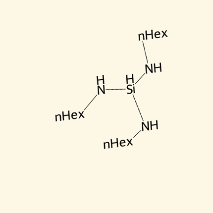 CCCCCCN[SiH](NCCCCCC)NCCCCCC